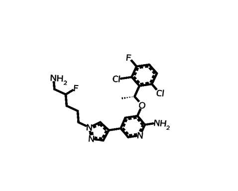 C[C@@H](Oc1cc(-c2cnn(CCCC(F)CN)c2)cnc1N)c1c(Cl)ccc(F)c1Cl